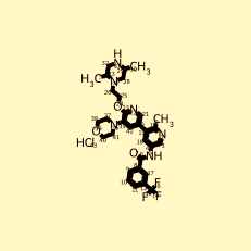 Cc1ncc(NC(=O)c2cccc(C(F)(F)F)c2)cc1-c1cnc(OCCN2CC(C)NCC2C)c(N2CCOCC2)c1.Cl